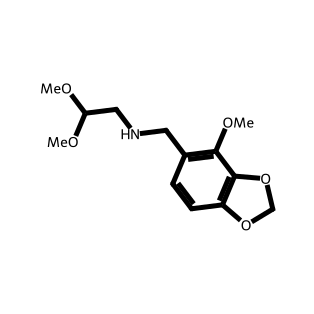 COc1c(CNCC(OC)OC)ccc2c1OCO2